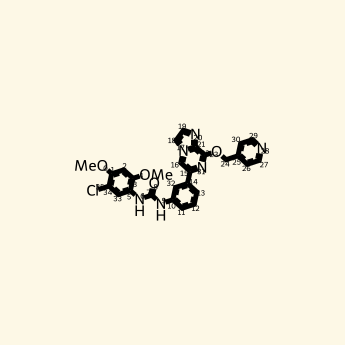 COc1cc(OC)c(NC(=O)Nc2cccc(-c3cn4ccnc4c(OCc4ccncc4)n3)c2)cc1Cl